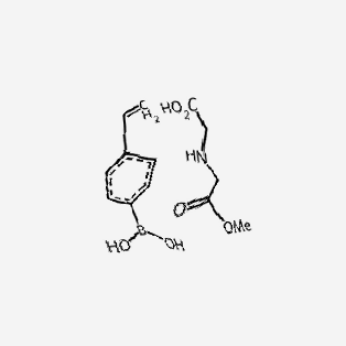 C=Cc1ccc(B(O)O)cc1.COC(=O)CNCC(=O)O